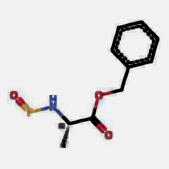 C[C@H](NP=O)C(=O)OCc1ccccc1